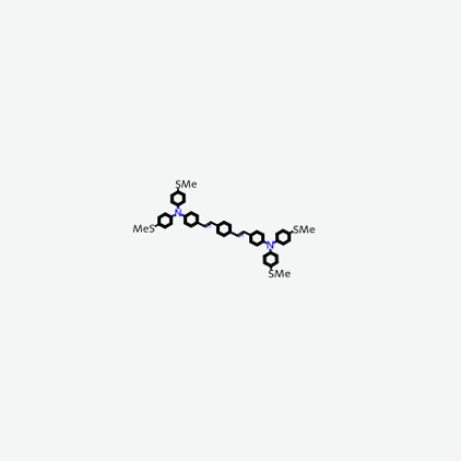 CSc1ccc(N(c2ccc(/C=C/c3ccc(/C=C/c4ccc(N(c5ccc(SC)cc5)c5ccc(SC)cc5)cc4)cc3)cc2)c2ccc(SC)cc2)cc1